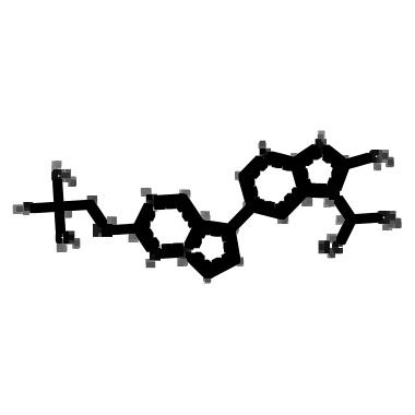 Cc1nc2ncc(-c3ccn4nc(NCC(C)(C)F)ncc34)cc2n1C(C)C